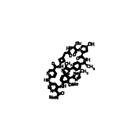 CNC(=O)c1nnc(Nc2ccc(C(=O)NC3CC(CC(=O)N[C@H](C(=O)N4C[C@H](O)C[C@H]4C(=O)N[C@@H](C)c4ccc(-c5scnc5C)cc4)C(C)(C)C)C3)cn2)cc1Nc1cccc(-c2ncn(C)n2)c1OC